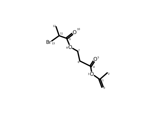 C=C(C)OC(=O)CCOC(=O)C(C)Br